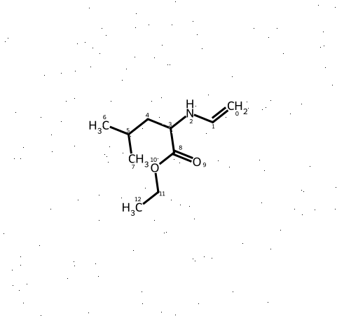 C=CNC(CC(C)C)C(=O)OCC